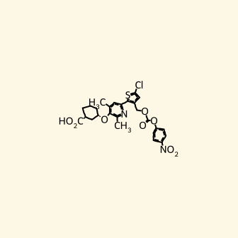 Cc1cc(-c2sc(Cl)cc2COC(=O)Oc2ccc([N+](=O)[O-])cc2)nc(C)c1O[C@H]1CCC[C@H](C(=O)O)C1